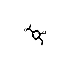 CCc1ccc(C(C)=O)cc1Cl